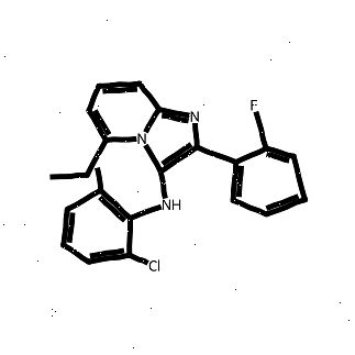 CCc1cccc2nc(-c3ccccc3F)c(Nc3c(C)cccc3Cl)n12